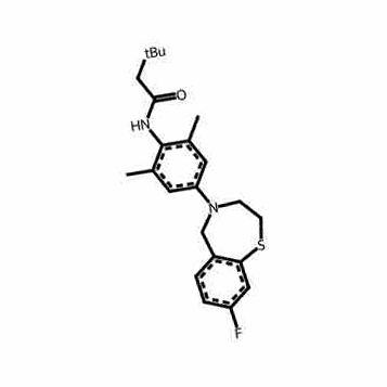 Cc1cc(N2CCSc3cc(F)ccc3C2)cc(C)c1NC(=O)CC(C)(C)C